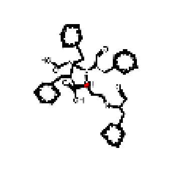 O=CC(Cc1ccccc1)NCCCC[C@@H](Cc1ccccc1)C(Cc1ccccc1)(NC(=O)O)N(NC(=O)O)[C@H](C=O)Cc1ccccc1